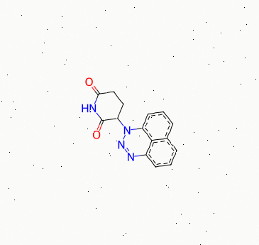 O=C1CCC(N2N=Nc3cccc4cccc2c34)C(=O)N1